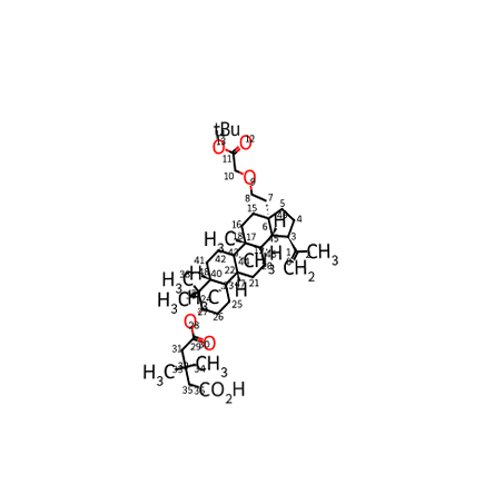 C=C(C)[C@@H]1CC[C@]2(CCOCC(=O)OC(C)(C)C)CC[C@]3(C)[C@H](CC[C@@H]4[C@@]5(C)CC[C@H](OC(=O)CC(C)(C)CC(=O)O)C(C)(C)[C@@H]5CC[C@]43C)[C@@H]12